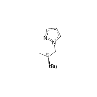 C[C@@H](Cn1cccn1)C(C)(C)C